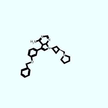 NC1=NC=NC2C1C(c1cccc(OCc3ccccc3)c1)=CN2[C@H]1C[C@H](CN2CCCC2)C1